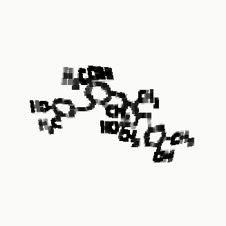 CC1=C(Cc2ccc(O)c(C)c2)CC(C)(O)C=C1CC1=CC(C)(O)CC(Cc2ccc(O)c(C)c2)=C1C